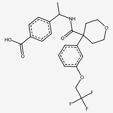 CC(NC(=O)C1(c2cccc(OCC(F)(F)F)c2)CCOCC1)c1ccc(C(=O)O)cc1